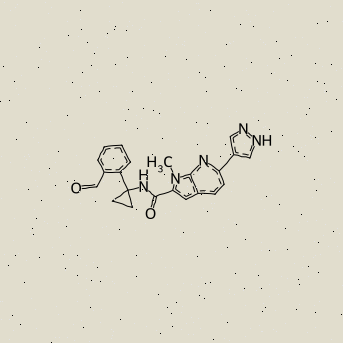 Cn1c(C(=O)NC2(c3ccccc3C=O)CC2)cc2ccc(-c3cn[nH]c3)nc21